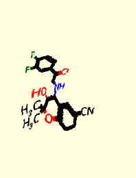 CC1(C)Oc2ccc(C#N)cc2[C@H](NCC(=O)c2ccc(F)c(F)c2)[C@H]1O